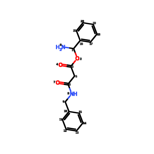 NC(OC(=O)CC(=O)NCc1ccccc1)c1ccccc1